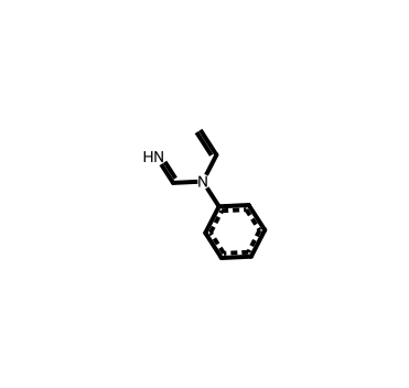 C=CN(C=N)c1ccccc1